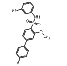 CCc1cccc(NS(=O)(=O)c2ccc(-c3ccc(F)cc3)cc2OC(F)(F)F)c1